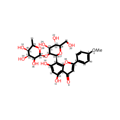 COc1ccc(-c2cc(=O)c3c(O)cc(O)c([C@@H]4OC(CO)[C@@H](O)[C@H](O)C4O[C@@H]4OC(C)[C@H](O)[C@H](O)C4O)c3o2)cc1